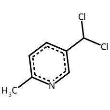 Cc1ccc(C(Cl)Cl)cn1